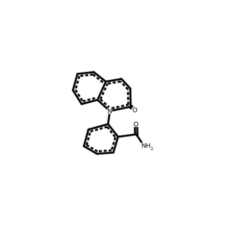 NC(=O)c1ccccc1-n1c(=O)ccc2ccccc21